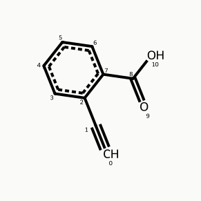 C#Cc1c[c]ccc1C(=O)O